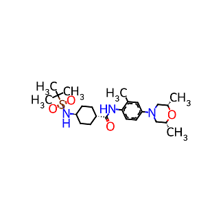 Cc1cc(N2C[C@@H](C)O[C@@H](C)C2)ccc1NC(=O)[C@H]1CC[C@H](NS(=O)(=O)C(C)(C)C)CC1